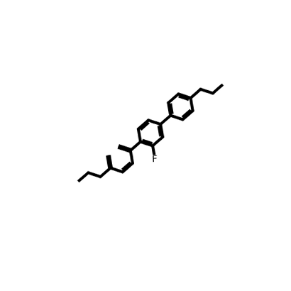 C=C(/C=C\C(=C)c1ccc(-c2ccc(CCC)cc2)cc1F)CCC